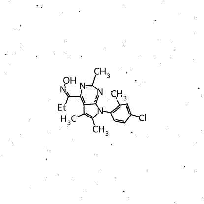 CC/C(=N/O)c1nc(C)nc2c1c(C)c(C)n2-c1ccc(Cl)cc1C